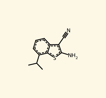 CC(C)c1cccc2c(C#N)c(N)sc12